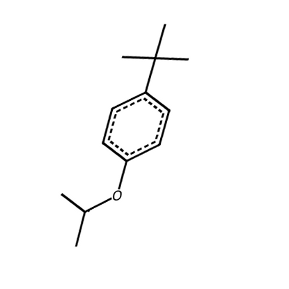 C[C](C)Oc1ccc(C(C)(C)C)cc1